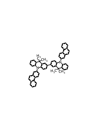 CC1(C)c2ccccc2N(c2ccc3c(ccc4ccccc43)c2)c2ccc(-c3ccc4c(c3)C(C)(C)c3ccccc3N4c3ccc4c(ccc5ccccc54)c3)cc21